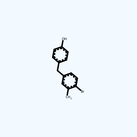 Cc1cc(Cc2ccc(O)cc2)ccc1Br